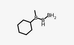 BBB(C)C1CCCCC1